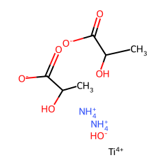 CC(O)C(=O)[O-].CC(O)C(=O)[O-].[NH4+].[NH4+].[OH-].[Ti+4]